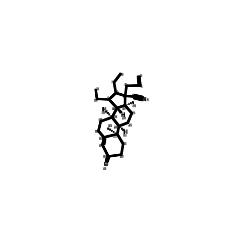 C=CCC1(C#N)C(CC)C(CC)[C@H]2[C@@H]3CCC4=CC(=O)CC[C@]4(C)[C@@H]3CC[C@@]21C